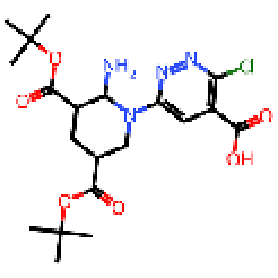 CC(C)(C)OC(=O)C1CC(C(=O)OC(C)(C)C)C(N)N(c2cc(C(=O)O)c(Cl)nn2)C1